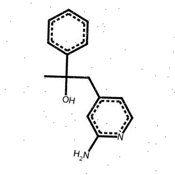 CC(O)(Cc1ccnc(N)c1)c1ccccc1